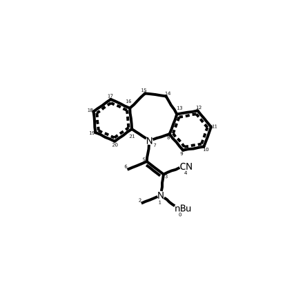 CCCCN(C)C(C#N)=C(C)N1c2ccccc2CCc2ccccc21